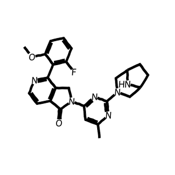 COc1cccc(F)c1-c1nccc2c1CN(c1cc(C)nc(N3CC4CCC(C3)N4)n1)C2=O